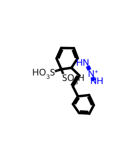 N=[N+]=N.O=S(=O)(O)C1(S(=O)(=O)O)C=CC=CC1C=Cc1ccccc1